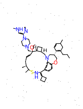 C=N/C(=C\NC)N1CCN(C[C@]2(OC)/C=C/C[C@H](C)C(C)SNC(=C3CCC3)c3ccc4c(c3)N(C[C@H](C3=C(CCC)CC(C)C=C3)CO4)C[C@@H]3CC[C@H]32)CC1